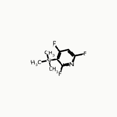 C[Si](C)(C)c1c(F)cc(F)nc1F